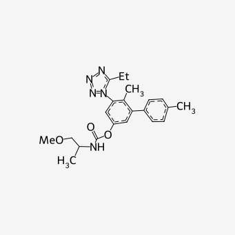 CCc1nnnn1-c1cc(OC(=O)NC(C)COC)cc(-c2ccc(C)cc2)c1C